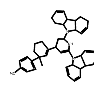 CC1(c2ccc(C#N)cc2)C=C(C2C=C(N3C4C=CC=CC4C4CCC=CC43)NC(N3C4C=CCCC4C4C=CCCC43)C2)CCC1